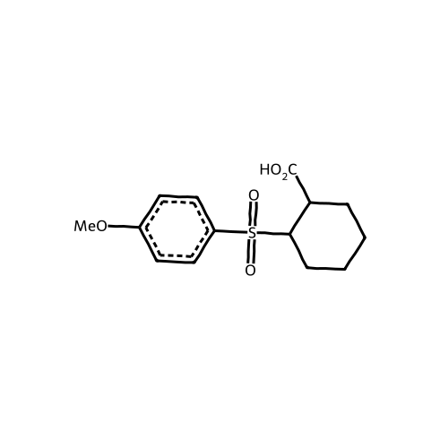 COc1ccc(S(=O)(=O)C2CCCCC2C(=O)O)cc1